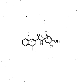 CC1(NC(=O)C2=Cc3ccccc3NC2)C=C(Cl)C(O)=CC1=O